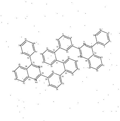 c1ccc(-c2nc(-c3cccc(-c4ccccc4-c4ccccc4-c4cccc(-c5nc(-c6ccccc6)c6ccccc6n5)c4)c3)nc3ccccc23)cc1